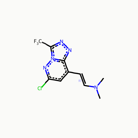 CN(C)/C=C/c1cc(Cl)nn2c(C(F)(F)F)nnc12